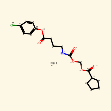 O=C(CCCNC(=O)OCOC(=O)C1CCCC1)Oc1ccc(Cl)cc1.[NaH]